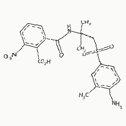 Cc1cc(S(=O)(=O)CC(C)(C)NC(=O)c2cccc([N+](=O)[O-])c2C(=O)O)ccc1N